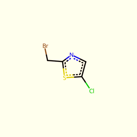 Clc1cnc(CBr)s1